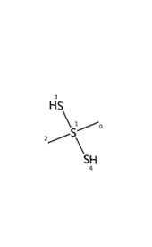 CS(C)(S)S